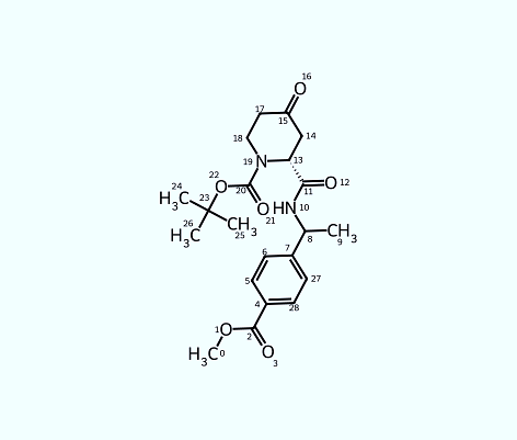 COC(=O)c1ccc(C(C)NC(=O)[C@H]2CC(=O)CCN2C(=O)OC(C)(C)C)cc1